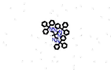 [CH2]C(c1cn(C(c2ccccc2)(c2ccccc2)c2ccccc2)cn1)(c1cn(C(c2ccccc2)(c2ccccc2)c2ccccc2)cn1)c1cn(C(c2ccccc2)(c2ccccc2)c2ccccc2)cn1